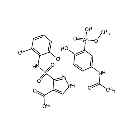 CO[As](=O)(O)c1cc(NC(C)=O)ccc1O.O=C(O)c1c[nH]nc1S(=O)(=O)Nc1c(Cl)cccc1Cl